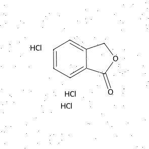 Cl.Cl.Cl.O=C1OCc2ccccc21